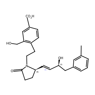 Cc1cccc(C[C@H](O)/C=C/[C@H]2CCC(=O)N2CCc2ccc(C(=O)O)cc2CO)c1